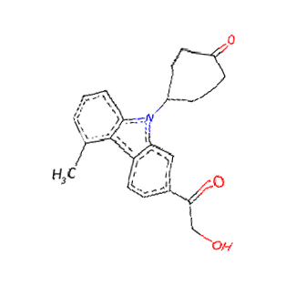 Cc1cccc2c1c1ccc(C(=O)CO)cc1n2C1CCC(=O)CC1